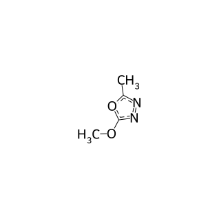 COc1nnc(C)o1